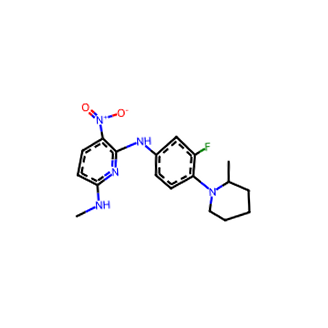 CNc1ccc([N+](=O)[O-])c(Nc2ccc(N3CCCCC3C)c(F)c2)n1